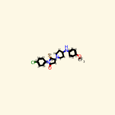 O=C1CC(N2CCC(Nc3ccc(OC(F)(F)F)cc3)CC2)C(=S)N1c1ccc(Cl)cc1